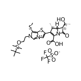 CSc1c2sc(C3=C(C(=O)O)N4C(=O)[C@H]([C@@H](C)O)[C@H]4[C@H]3C)c[n+]2cn1CCO[Si](C)(C)C(C)(C)C.O=S(=O)([O-])C(F)(F)F